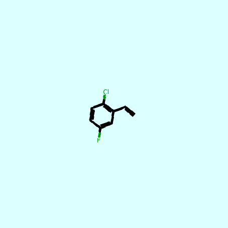 C=[C]c1cc(F)ccc1Cl